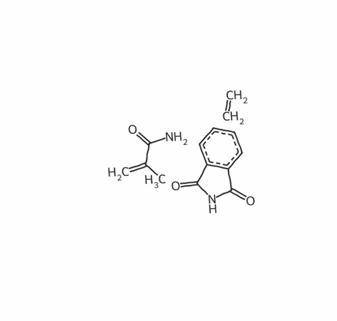 C=C.C=C(C)C(N)=O.O=C1NC(=O)c2ccccc21